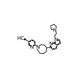 C#Cc1ccc(N2CCCCC(c3ccc4ccn(CCN5CCCC5)c4n3)CC2)nc1